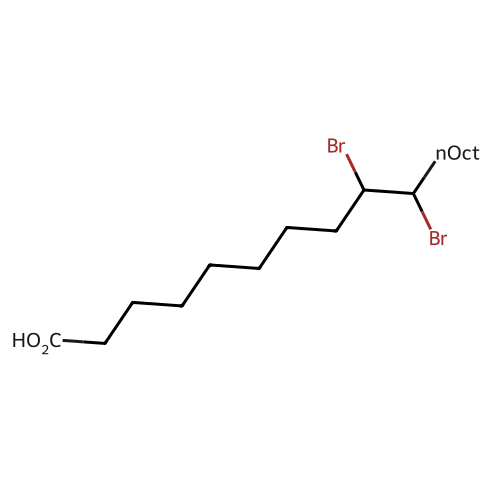 CCCCCCCCC(Br)C(Br)CCCCCCCC(=O)O